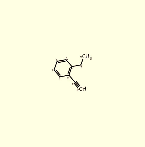 C#Cc1ccc[c]c1CC